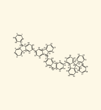 c1ccc(-n2c3ccccc3c3cc(-c4ccc5c(c4)c4ccccc4n5-c4ccc5oc6ccc(-c7cccc8c7-c7ccccc7C8(c7ccccc7)c7ccccc7)cc6c5c4)ccc32)cc1